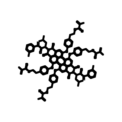 C=C(C)C(=O)OCCc1ccc(Oc2cc3c4c(cc(Oc5ccc(CCOC(=O)C(=C)C)cc5)c5c6c(Oc7ccc(CCOC(=O)C(=C)C)cc7)cc7c8c(cc(Oc9ccc(CCOC(=O)C(=C)C)cc9)c(c2c45)c86)C(=O)N(C(CC(C)C)C(=O)Nc2cccc(C)c2)C7=O)C(=O)N(C(CC(C)C)C(=O)Nc2cccc(C)c2)C3=O)cc1